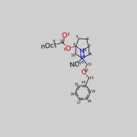 CCCCCCCCC(=O)OC12CCC(CC(C#N)(COCc3ccccc3)C1)N2